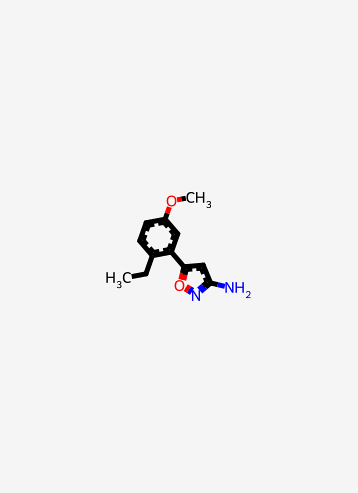 CCc1ccc(OC)cc1-c1cc(N)no1